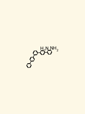 Nc1cccc(-c2ccc(-c3cccc(-c4ccc(-c5ccccc5)cc4)c3)cc2)c1N